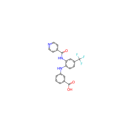 O=C(O)c1cccc(Nc2ccc(C(F)(F)F)cc2NC(=O)c2ccncc2)c1